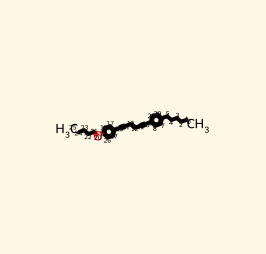 CCCCCCc1ccc(C#C/C=C/C#Cc2ccc(OCCCCC)cc2)cc1